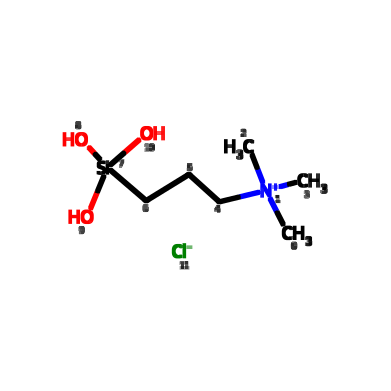 C[N+](C)(C)CCC[Si](O)(O)O.[Cl-]